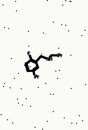 CC(C)CNCc1cc(C(C)C)ccc1F